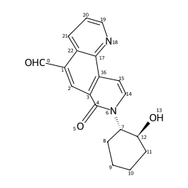 O=Cc1cc2c(=O)n([C@H]3CCCC[C@@H]3O)ccc2c2ncccc12